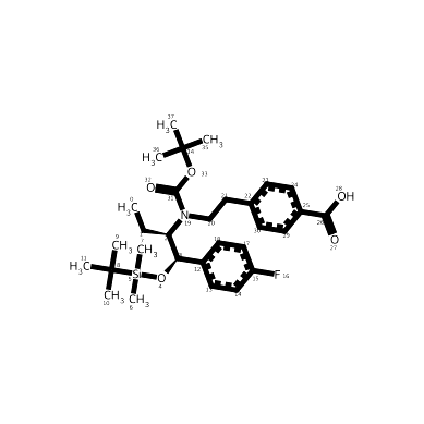 CC[C@H]([C@H](O[Si](C)(C)C(C)(C)C)c1ccc(F)cc1)N(CCc1ccc(C(=O)O)cc1)C(=O)OC(C)(C)C